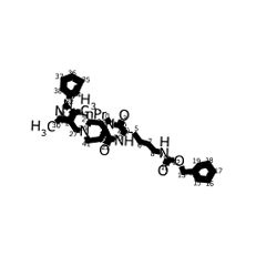 CCCN1C(=O)[C@H](CCCCNC(=O)OCc2ccccc2)NC(=O)C12CCN(Cc1c(C)nn(-c3ccccc3)c1C)CC2